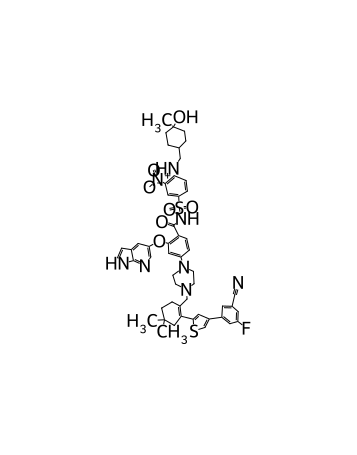 CC1(C)CCC(CN2CCN(c3ccc(C(=O)NS(=O)(=O)c4ccc(NCC5CCC(C)(O)CC5)c([N+](=O)[O-])c4)c(Oc4cnc5[nH]ccc5c4)c3)CC2)=C(c2cc(-c3cc(F)cc(C#N)c3)cs2)C1